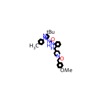 COc1ccc(CC(=O)N2CCC(Cc3ccccc3NC(=O)Nc3cc(C(C)(C)C)nn3-c3ccc(C)cc3)CC2)cc1